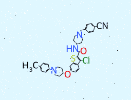 Cc1ccc(N2CCC(Oc3ccc4c(Cl)c(C(=O)NC5CCN(Cc6ccc(C#N)cc6)CC5)sc4c3)CC2)cc1